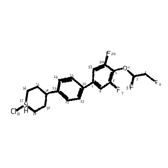 FCC(F)Oc1c(F)cc(-c2ccc(C3CC[SiH](Cl)CC3)cc2)cc1F